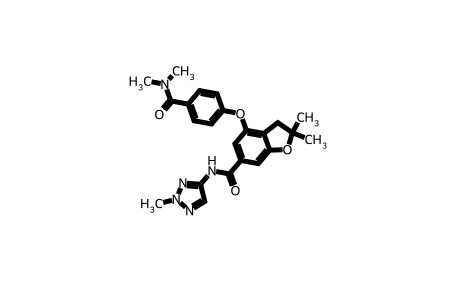 CN(C)C(=O)c1ccc(Oc2cc(C(=O)Nc3cnn(C)n3)cc3c2CC(C)(C)O3)cc1